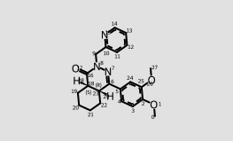 COc1ccc(C2=NN(Cc3ccccn3)C(=O)[C@H]3CCCC[C@@H]23)cc1OC